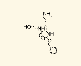 NCCCC[C@H](NC(=O)OCc1ccccc1)C(=O)NCCO